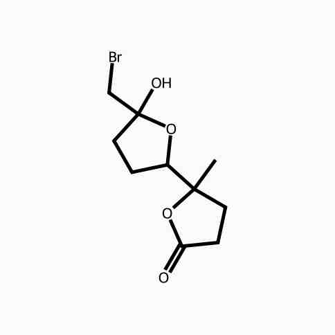 CC1(C2CCC(O)(CBr)O2)CCC(=O)O1